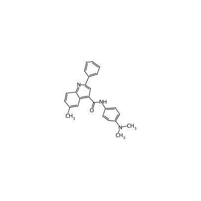 Cc1ccc2nc(-c3ccccc3)cc(C(=O)Nc3ccc(N(C)C)cc3)c2c1